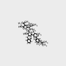 CC[C@H](C)[C@H](NC(=O)C[C@H](O)[C@H](Cc1ccccc1)NC(=O)C(NC(=O)c1cccc(OC(C)(C)C)c1)C(C)C)C(=O)NC(C(=O)O)C(C)C